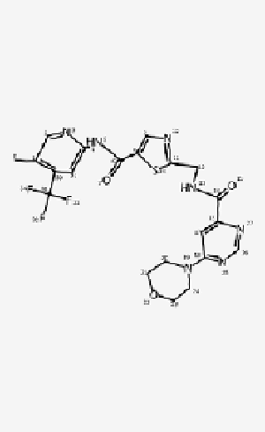 Cc1cnc(NC(=O)c2cnc(CNC(=O)c3cc(N4CCOCC4)ncn3)s2)cc1C(F)(F)F